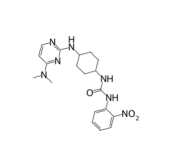 CN(C)c1ccnc(NC2CCC(NC(=O)Nc3ccccc3[N+](=O)[O-])CC2)n1